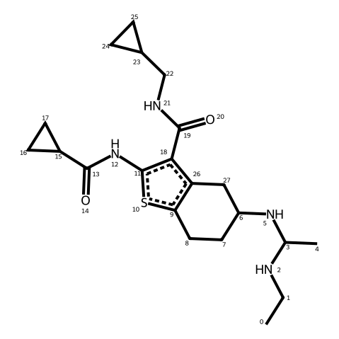 CCNC(C)NC1CCc2sc(NC(=O)C3CC3)c(C(=O)NCC3CC3)c2C1